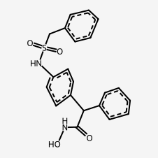 O=C(NO)C(c1ccccc1)c1ccc(NS(=O)(=O)Cc2ccccc2)cc1